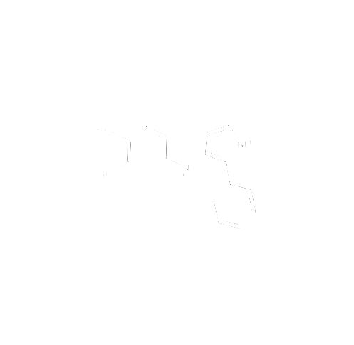 Cc1ccc(Nc2cc[nH]c2-c2ccccc2)cc1O